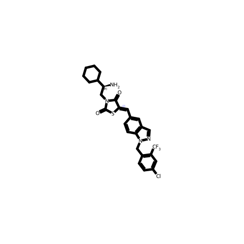 N[C@@H](CN1C(=O)S/C(=C\c2ccc3c(cnn3Cc3ccc(Cl)cc3C(F)(F)F)c2)C1=O)C1CCCCC1